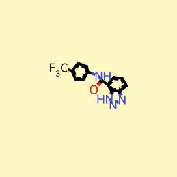 O=C(Nc1ccc(C(F)(F)F)cc1)c1cccc2nn[nH]c12